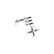 CC#N.CC#N.CC#N.CC#N.F[B-](F)(F)F.[Cu+]